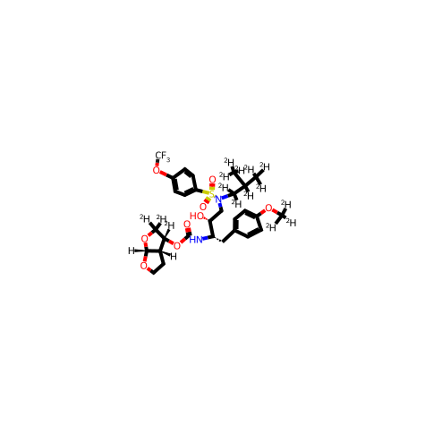 [2H]C([2H])([2H])Oc1ccc(C[C@H](NC(=O)O[C@]2([2H])[C@@H]3CCO[C@@H]3OC2([2H])[2H])[C@H](O)CN(C([2H])([2H])C([2H])(C([2H])([2H])[2H])C([2H])([2H])[2H])S(=O)(=O)c2ccc(OC(F)(F)F)cc2)cc1